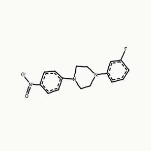 O=[N+]([O-])c1ccc(N2CCN(c3cccc(F)c3)CC2)cc1